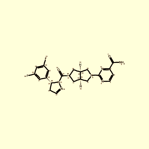 NC(=O)c1ccnc(N2C[C@H]3C[C@@H](C(=O)N4N=CC[C@@H]4c4cc(F)cc(F)c4)C[C@H]3C2)n1